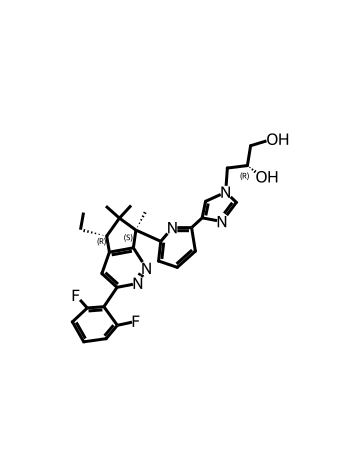 CC[C@H]1c2cc(-c3c(F)cccc3F)nnc2[C@](C)(c2cccc(-c3cn(C[C@@H](O)CO)cn3)n2)C1(C)C